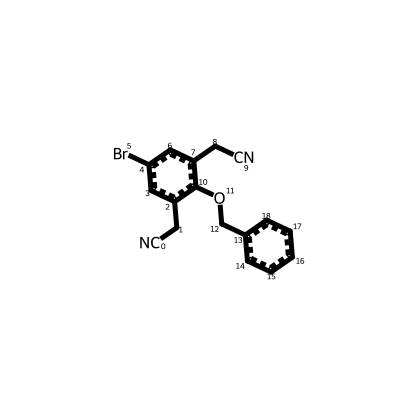 N#CCc1cc(Br)cc(CC#N)c1OCc1ccccc1